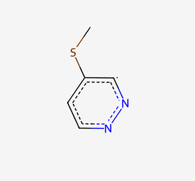 CSc1[c]nncc1